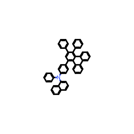 c1ccc(-c2cc(-c3ccc(N(c4ccccc4)c4cccc5ccccc45)cc3)c3c4ccccc4c4ccccc4c3c2-c2ccccc2)cc1